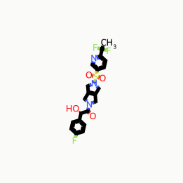 CC(F)(F)c1ccc(S(=O)(=O)N2CC3=C(CN(C(=O)[C@H](O)c4ccc(F)cc4)C3)C2)cn1